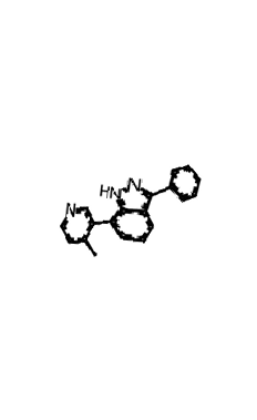 Cc1ccncc1-c1cccc2c(-c3ccccc3)n[nH]c12